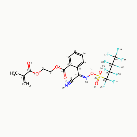 C=C(C)C(=O)OCCOC(=O)c1ccccc1/C(C#N)=N\OS(=O)(=O)C(F)(F)C(F)(F)C(F)(F)C(F)(F)F